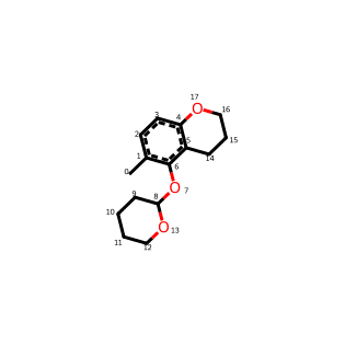 Cc1ccc2c(c1OC1CCCCO1)CCCO2